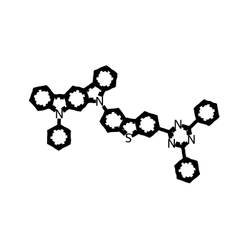 c1ccc(-c2nc(-c3ccccc3)nc(-c3ccc4c(c3)sc3ccc(-n5c6ccccc6c6cc7c8ccccc8n(-c8ccccc8)c7cc65)cc34)n2)cc1